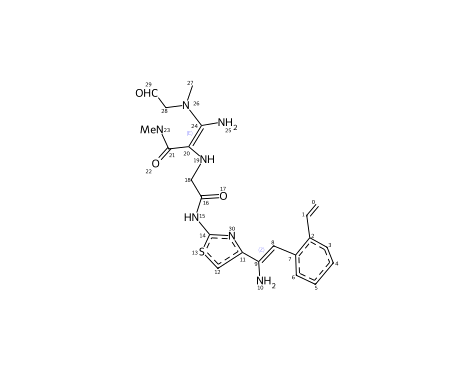 C=Cc1ccccc1/C=C(\N)c1csc(NC(=O)CN/C(C(=O)NC)=C(\N)N(C)CC=O)n1